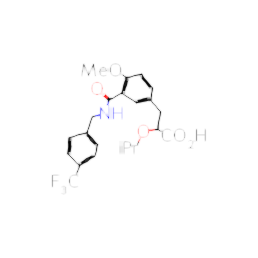 COc1ccc(CC(OC(C)C)C(=O)O)cc1C(=O)NCc1ccc(C(F)(F)F)cc1